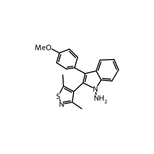 COc1ccc(-c2c(-c3c(C)nsc3C)n(N)c3ccccc23)cc1